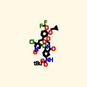 CC(C)(C)OC(=O)Nc1ccc2c(c1)C(=O)N(CC(=O)OC(Cc1c(Cl)c[n+]([O-])cc1Cl)c1ccc(OC(F)F)c(OCC3CC3)c1)C2